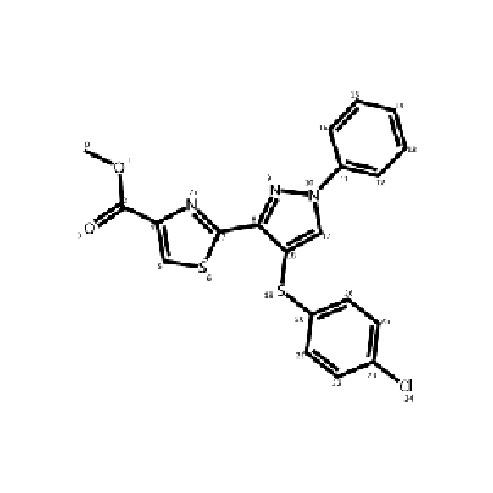 COC(=O)c1csc(-c2nn(-c3ccccc3)cc2Sc2ccc(Cl)cc2)n1